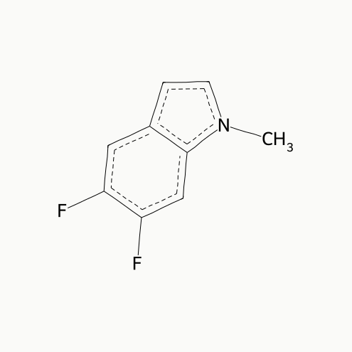 Cn1ccc2cc(F)c(F)cc21